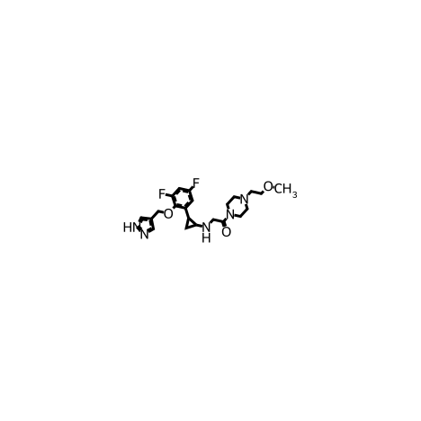 COCCN1CCN(C(=O)CNC2CC2c2cc(F)cc(F)c2OCc2cn[nH]c2)CC1